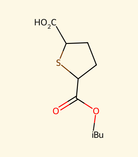 CCC(C)OC(=O)C1CCC(C(=O)O)S1